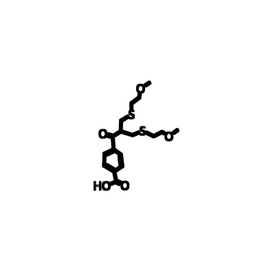 COCCSCC(CSCCOC)C(=O)c1ccc(C(=O)O)cc1